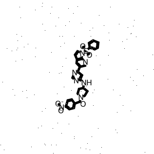 O=C(c1ccc([N+](=O)[O-])cc1)N1CCC(Nc2cc(-c3cnc4c(ccn4S(=O)(=O)c4ccccc4)c3)ncn2)CC1